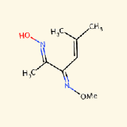 CO/N=C(C=C(C)C)/C(C)=N/O